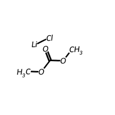 COC(=O)OC.[Li][Cl]